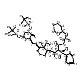 C=C1C(=CC=C2CCC[C@]3(C)[C@@H]([C@H](C)C(C(O)CC(C)(C)OC4CCCCO4)S(=O)(=O)c4ccccc4)CC[C@@H]23)C[C@@H](O[Si](C)(C)C(C)(C)C)C[C@@H]1O[Si](C)(C)C(C)(C)C